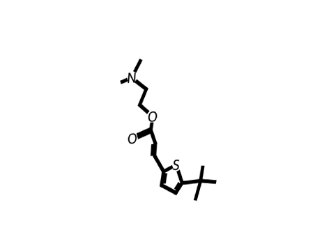 CN(C)CCOC(=O)/C=C/c1ccc(C(C)(C)C)s1